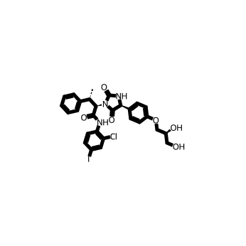 C[C@@H](c1ccccc1)[C@@H](C(=O)Nc1ccc(I)cc1Cl)N1C(=O)N[C@@H](c2ccc(OC[C@@H](O)CO)cc2)C1=O